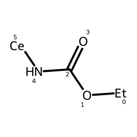 CCOC(=O)[NH][Ce]